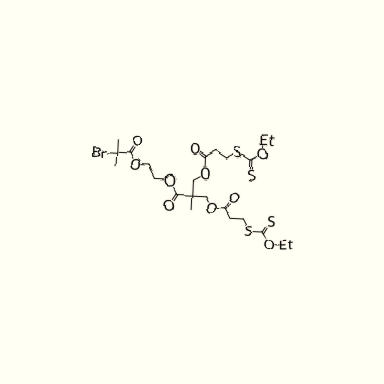 CCOC(=S)SCCC(=O)OCC(C)(COC(=O)CCSC(=S)OCC)C(=O)OCCOC(=O)C(C)(C)Br